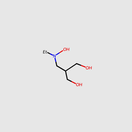 CCN(O)CC(CO)CO